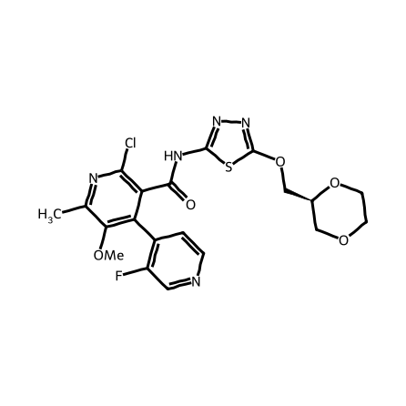 COc1c(C)nc(Cl)c(C(=O)Nc2nnc(OC[C@@H]3COCCO3)s2)c1-c1ccncc1F